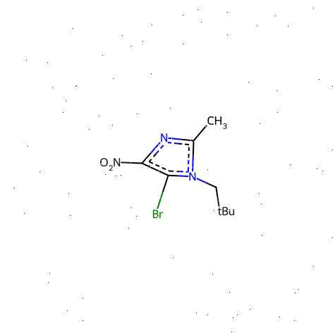 Cc1nc([N+](=O)[O-])c(Br)n1CC(C)(C)C